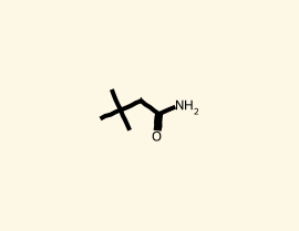 CC(C)(C)[CH]C(N)=O